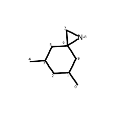 CC1CC(C)CC2(C[N]2)C1